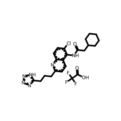 O=C(CC1CCCCC1)Nc1c(Cl)ccc2nc(CCCc3nnn[nH]3)ccc12.O=C(O)C(F)(F)F